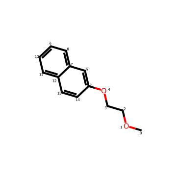 COCCOc1[c]c2ccccc2cc1